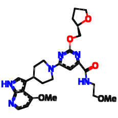 COCCNC(=O)c1cc(N2CCC(c3c[nH]c4nccc(OC)c34)CC2)nc(OC[C@H]2CCCO2)n1